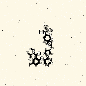 CCN(C(=O)c1cc(F)ccc1Oc1cncnc1N1CC[C@H](CN2CC3(CCC(N[SH](=O)=O)CC3)C2)C1)C(C)C